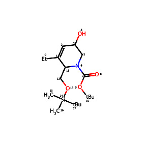 CCC1=CC(O)CN(C(=O)OC(C)(C)C)C1CO[Si](C)(C)C(C)(C)C